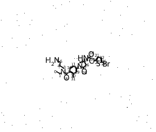 CCN(CCCN)C(=O)c1ccc(N2CC(NC(=O)Oc3ccc(Br)s3)CC2=O)cc1C